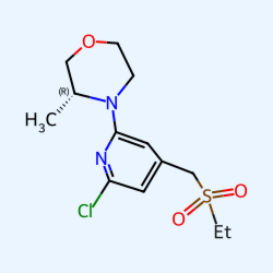 CCS(=O)(=O)Cc1cc(Cl)nc(N2CCOC[C@H]2C)c1